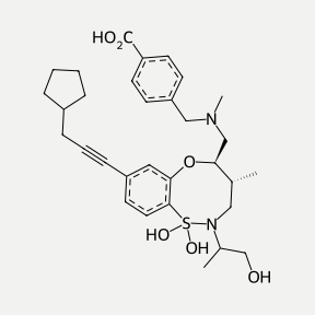 CC(CO)N1C[C@@H](C)[C@H](CN(C)Cc2ccc(C(=O)O)cc2)Oc2cc(C#CCC3CCCC3)ccc2S1(O)O